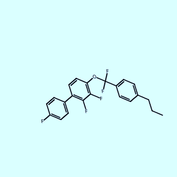 CCCc1ccc(C(F)(F)Oc2ccc(-c3ccc(F)cc3)c(F)c2F)cc1